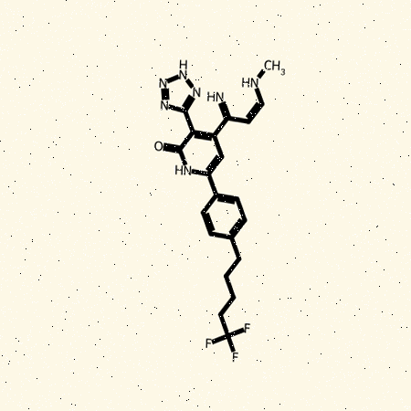 CN/C=C\C(=N)c1cc(-c2ccc(CCCCC(F)(F)F)cc2)[nH]c(=O)c1-c1nn[nH]n1